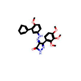 COc1ccc(N/N=C2/C(=O)NN=C2c2ccc(OC)c(OC)c2OC)cc1-c1ccccc1